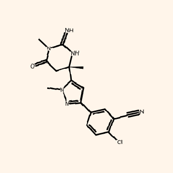 CN1C(=N)N[C@](C)(c2cc(-c3ccc(Cl)c(C#N)c3)nn2C)CC1=O